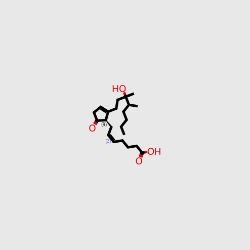 CCCCC(C)C(C)(O)CCC1=CCC(=O)[C@@H]1C/C=C\CCCC(=O)O